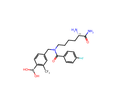 NC(=O)[C@@H](N)CCCCN(Cc1ccc(B(O)O)c(C(F)(F)F)c1)C(=O)c1c[c]c(F)cc1